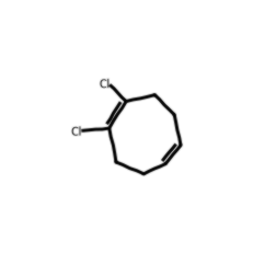 ClC1=C(Cl)CCC=CCC1